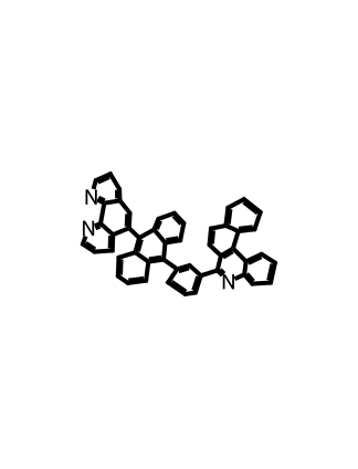 c1cc(-c2c3ccccc3c(-c3cc4cccnc4c4ncccc34)c3ccccc23)cc(-c2nc3ccccc3c3c2ccc2ccccc23)c1